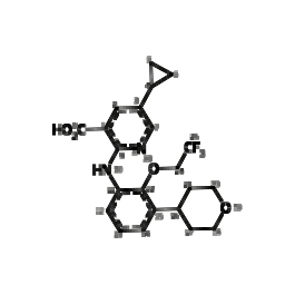 O=C(O)c1cc(C2CC2)cnc1Nc1cccc(C2CCOCC2)c1OCC(F)(F)F